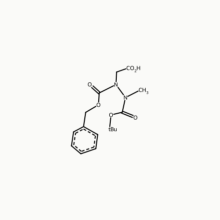 CN(C(=O)OC(C)(C)C)N(CC(=O)O)C(=O)OCc1ccccc1